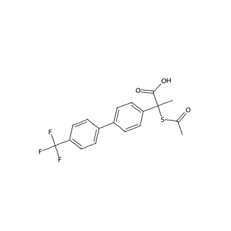 CC(=O)SC(C)(C(=O)O)c1ccc(-c2ccc(C(F)(F)F)cc2)cc1